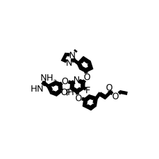 CCOC(=O)C=Cc1cccc(Oc2c(F)c(Oc3cccc(C4=NCCN4C)c3)nc(Oc3cc(C(=N)N)ccc3O)c2F)c1